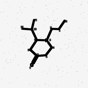 CCCN1CCC(=O)CC1C(C)C